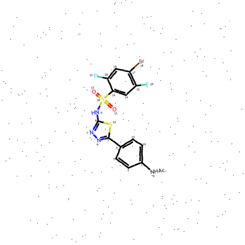 CC(=O)Nc1ccc(-c2nnc(NS(=O)(=O)c3cc(F)c(Br)cc3F)s2)cc1